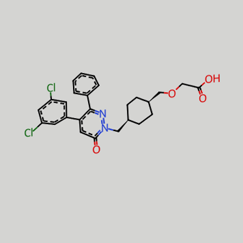 O=C(O)COC[C@H]1CC[C@@H](Cn2nc(-c3ccccc3)c(-c3cc(Cl)cc(Cl)c3)cc2=O)CC1